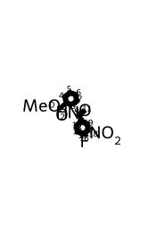 COC(=O)c1ccccc1NC(=O)c1ccc(F)c([N+](=O)[O-])c1